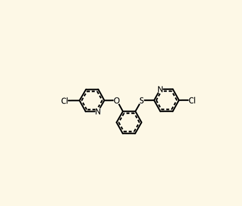 Clc1ccc(Oc2ccccc2Sc2ccc(Cl)cn2)nc1